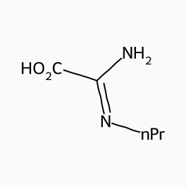 CCCN=C(N)C(=O)O